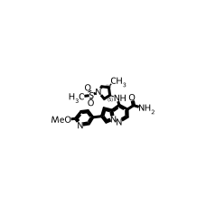 COc1ccc(-c2cc3c(N[C@@H]4CN(S(C)(=O)=O)C[C@@H]4C)c(C(N)=O)cnn3c2)cn1